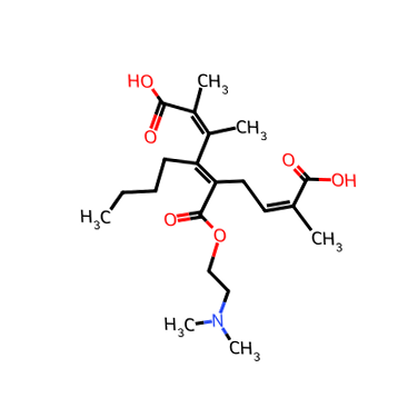 CCCCC(C(C)=C(C)C(=O)O)=C(CC=C(C)C(=O)O)C(=O)OCCN(C)C